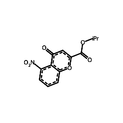 CC(C)OC(=O)c1cc(=O)c2c([N+](=O)[O-])cccc2o1